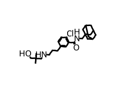 CC(C)(CO)CNCCCc1ccc(Cl)c(C(=O)NCC23CC4CC(CC(C4)C2)C3)c1